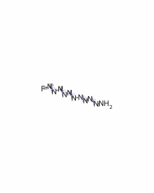 N/N=N/N=N/N=N/N=N/N=N/F